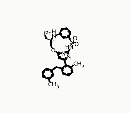 Cc1cccc(Cc2cccc(C)c2-c2cc3nc(n2)NS(=O)(=O)c2cccc(c2)N[C@H](CC(C)C)CO3)c1